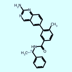 Cc1ccc(C(=O)N[C@@H](C)c2ccccc2)cc1-c1ccc2nc(N)ncc2c1